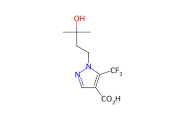 CC(C)(O)CCn1ncc(C(=O)O)c1C(F)(F)F